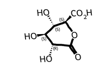 O=C(O)[C@H]1OC(=O)[C@H](O)[C@@H](O)[C@@H]1O